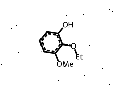 CCOc1c(OC)[c]ccc1O